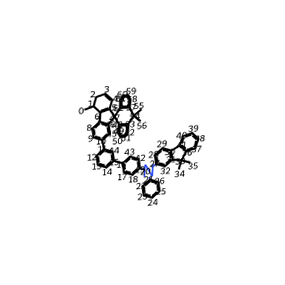 CC1CC=CC2=C1c1ccc(-c3cccc(-c4ccc(N(c5ccccc5)c5ccc6c(c5)C(C)(C)c5ccccc5-6)cc4)c3)cc1C21c2ccccc2C(C)(C)c2ccccc21